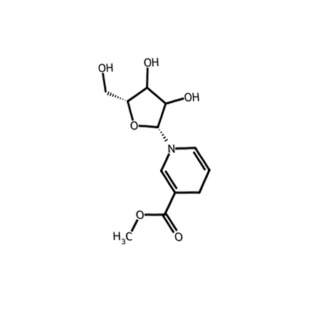 COC(=O)C1=CN([C@@H]2O[C@H](CO)C(O)C2O)C=CC1